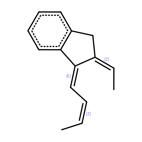 C\C=C/C=C1\C(=C/C)Cc2ccccc21